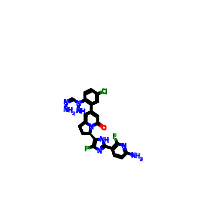 N/N=C\N(N)c1ccc(Cl)cc1-c1cc2n(c(=O)c1)[C@@H](c1[nH]c(-c3ccc(N)nc3F)nc1F)CC2